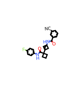 N#Cc1cccc(C(=O)NC23CC(C4(C(=O)Nc5ccc(F)cc5)CCC4)(C2)C3)c1